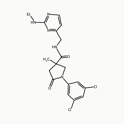 CCNc1nccc(CNC(=O)C2(C)CC(=O)N(c3cc(Cl)cc(Cl)c3)C2)n1